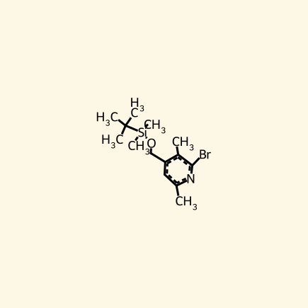 Cc1cc(CO[Si](C)(C)C(C)(C)C)c(C)c(Br)n1